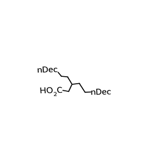 CCCCCCCCCCCCC(CCCCCCCCCCCC)CC(=O)O